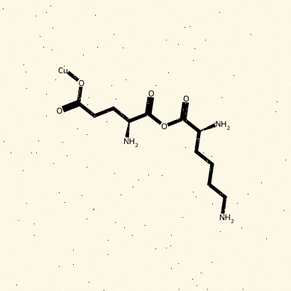 NCCCC[C@H](N)C(=O)OC(=O)[C@@H](N)CCC(=O)[O][Cu]